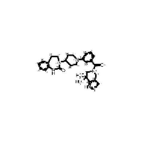 CC1(C)CN(C(=O)c2cccc(N3CCC(N4CCc5ccccc5NC4=O)CC3)c2)Cc2cn[nH]c21